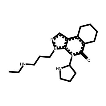 CCNCCCn1ncc2c3c(c(=O)n(C4CCCN4)c21)CCCC3